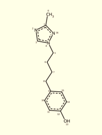 Cc1ncn(CCCCc2ccc(O)cc2)n1